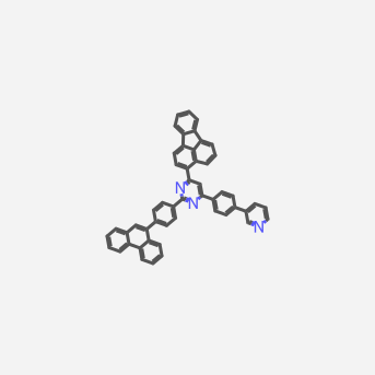 c1cncc(-c2ccc(-c3cc(-c4ccc5c6c(cccc46)-c4ccccc4-5)nc(-c4ccc(-c5cc6ccccc6c6ccccc56)cc4)n3)cc2)c1